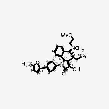 COCCN(C)C(=O)c1ccccc1C1C(C(=O)CC(C)C)=C(O)C(=O)N1c1ccc(-c2ccc(C)o2)cc1